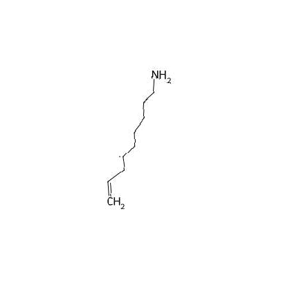 C=CC[CH]CCCCCN